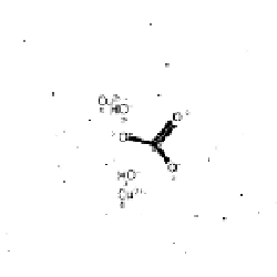 O=C([O-])[O-].[Cu+2].[Cu+2].[OH-].[OH-]